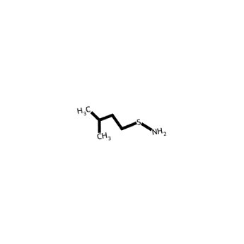 CC(C)CCSN